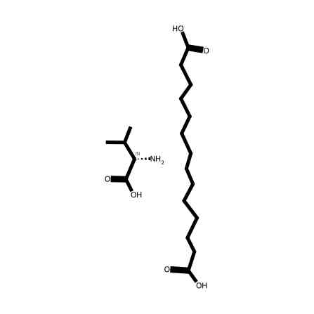 CC(C)[C@H](N)C(=O)O.O=C(O)CCCCCCCCCCCCC(=O)O